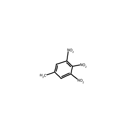 [CH2]c1cc([N+](=O)[O-])c([N+](=O)[O-])c([N+](=O)[O-])c1